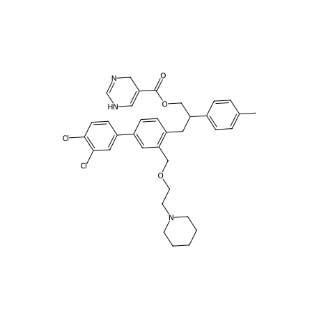 Cc1ccc(C(COC(=O)C2=CNC=NC2)Cc2ccc(-c3ccc(Cl)c(Cl)c3)cc2COCCN2CCCCC2)cc1